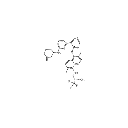 Cc1ccc2c(Oc3ncccc3-c3ccnc(NC4CCCNC4)n3)c(C)ccc2c1NCC(O)C(F)(F)F